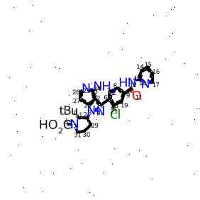 CC(C)(C)C1C(n2nc(-c3ccc(C(=O)Nc4ccccn4)cc3Cl)c3c(N)nccc32)CCCN1C(=O)O